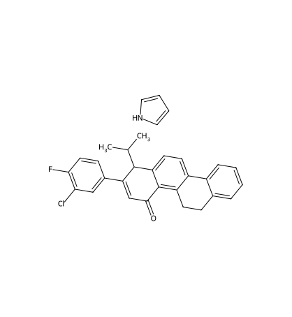 CC(C)C1C(c2ccc(F)c(Cl)c2)=CC(=O)c2c1ccc1c2CCc2ccccc2-1.c1cc[nH]c1